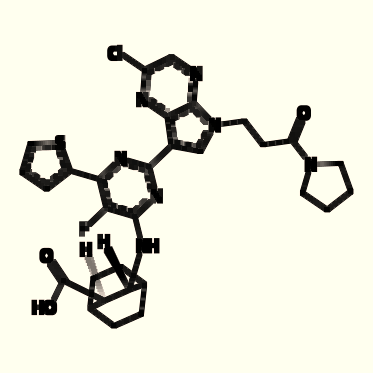 O=C(O)[C@@H]1C2CCC(CC2)[C@H]1Nc1nc(-c2cn(CCC(=O)N3CCCC3)c3ncc(Cl)nc23)nc(-c2cccs2)c1F